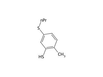 CCCSc1ccc(C)c(S)c1